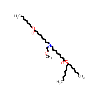 CCCCCCCOC(=O)CCCCCCCN(CCCCCCCC(=O)OC(CCCCCC)CCCCCCC)CCOC